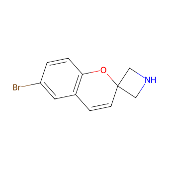 Brc1ccc2c(c1)C=CC1(CNC1)O2